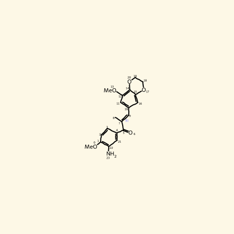 COc1ccc(C(=O)/C(C)=C/c2cc(OC)c3c(c2)OCCO3)cc1N